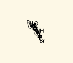 CCC(C)N1C(=O)c2ccc(NC(=O)CC(C)(C)C(C)(C)CBr)cc2C1=O